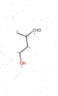 CC(C=O)CCO